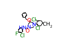 C=C1CC=C(Cl)C(N2CCN(C(=O)Nc3ccc(F)c(Cl)c3)CC(OCc3ccccc3)C2)=C(Cl)C1